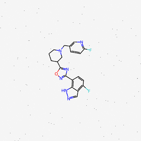 Fc1ccc(CN2CCCC(c3nc(-c4ccc(F)c5cn[nH]c45)no3)C2)cn1